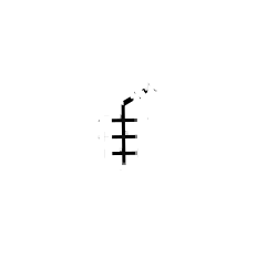 [N-]=[N+]=CC(F)(F)C(F)(F)C(F)(F)F